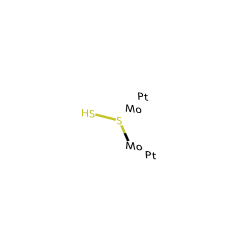 S[S][Mo].[Mo].[Pt].[Pt]